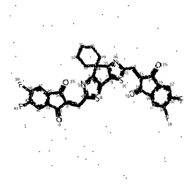 O=C1C(=Cc2nc3c(s2)-c2sc(C=C4C(=O)c5cc(F)c(F)cc5C4=O)nc2C32CCCCC2)C(=O)c2cc(F)c(F)cc21